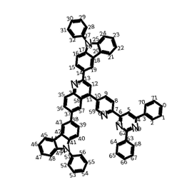 c1ccc(-c2cc(-c3ccc(-c4cc(-c5ccc6c(c5)c5ccccc5n6-c5ccccc5)nc5ccc(-c6ccc7c(c6)c6ccccc6n7-c6ccccc6)cc45)cn3)nc(-c3ccccc3)n2)cc1